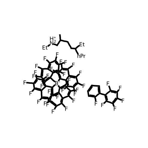 CCCC(CC)CCC(C)C[NH2+]CC.Fc1c(F)c(F)c2c([B-](c3c(F)c(F)c(F)c4c(F)c(F)c(F)c(F)c34)(c3c(F)c(F)c(F)c4c(F)c(F)c(F)c(F)c34)c3c(F)c(F)c(F)c4c(F)c(F)c(F)c(F)c34)c(F)c(F)c(F)c2c1F.Fc1ccccc1-c1c(F)c(F)c(F)c(F)c1F